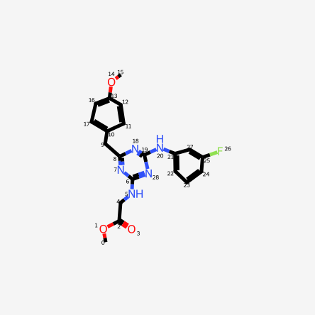 COC(=O)CNc1nc(Cc2ccc(OC)cc2)nc(Nc2cccc(F)c2)n1